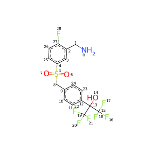 NCc1cc(S(=O)(=O)Cc2ccc(C(O)(C(F)(F)F)C(F)(F)F)cc2)ccc1F